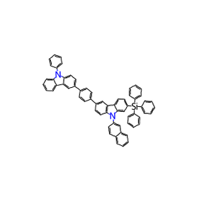 c1ccc(-n2c3ccccc3c3cc(-c4ccc(-c5ccc6c(c5)c5ccc([Si](c7ccccc7)(c7ccccc7)c7ccccc7)cc5n6-c5ccc6ccccc6c5)cc4)ccc32)cc1